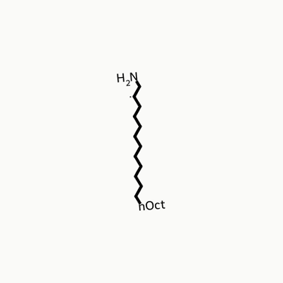 CCCCCCCCCCCCCCCCCC[CH]CN